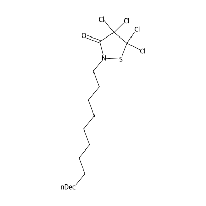 CCCCCCCCCCCCCCCCCCN1SC(Cl)(Cl)C(Cl)(Cl)C1=O